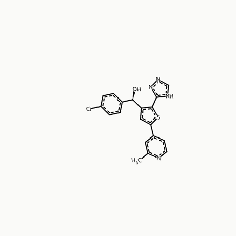 Cc1cc(-c2cc([C@H](O)c3ccc(Cl)cc3)c(-c3nnc[nH]3)s2)ccn1